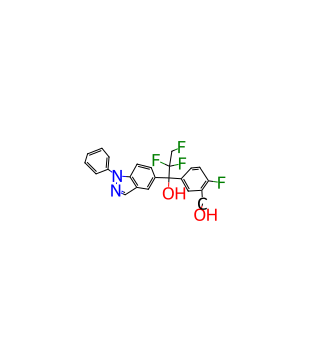 OCc1cc(C(O)(c2ccc3c(cnn3-c3ccccc3)c2)C(F)(F)CF)ccc1F